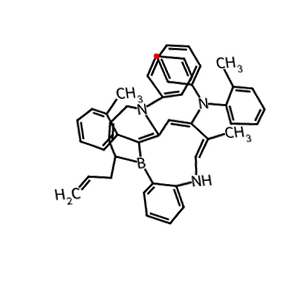 C=CCC1/C=C\CN(c2ccccc2)C2=C(/c3ccccc3C)B1c1ccccc1N/C=C(C)/C(N(c1ccccc1)c1ccccc1C)=C\2